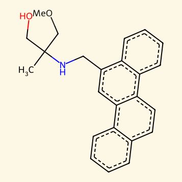 COCC(C)(CO)NCc1cc2c3ccccc3ccc2c2ccccc12